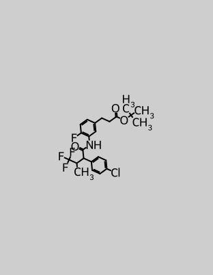 CC(C(C(=O)Nc1cc(CCC(=O)OC(C)(C)C)ccc1F)c1ccc(Cl)cc1)C(F)(F)F